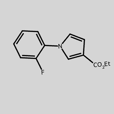 CCOC(=O)c1ccn(-c2ccccc2F)c1